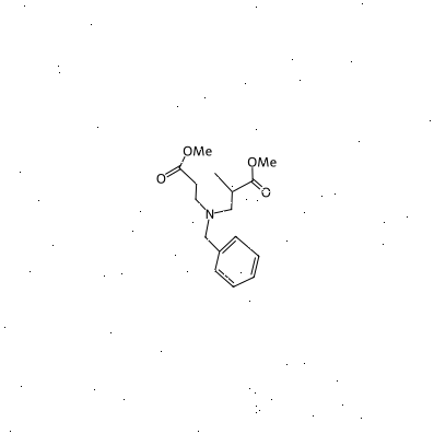 COC(=O)CCN(Cc1ccccc1)CC(C)C(=O)OC